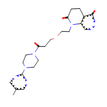 O=C(CCOCCN1C(=O)CCc2c1cn[nH]c2=O)N1CCN(c2ncc(C(F)(F)F)cn2)CC1